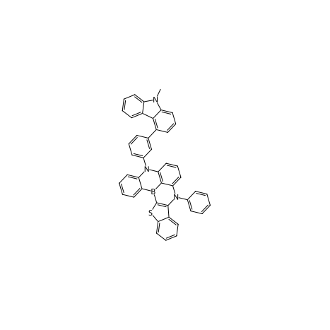 Cn1c2ccccc2c2c(-c3cccc(N4c5ccccc5B5c6sc7ccccc7c6N(c6ccccc6)c6cccc4c65)c3)cccc21